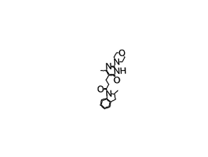 Cc1nc(N2CCOCC2)[nH]c(=O)c1CCC(=O)N1c2ccccc2CC1C